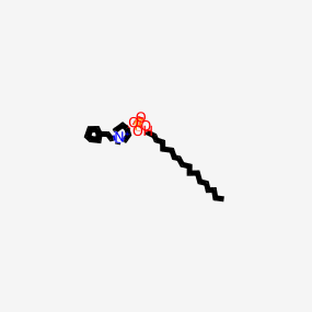 CCCCCCCCCCCCCCCCCCOP(=O)(O)OC1CC[N+](C)(CCc2ccccc2)CC1